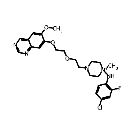 COc1cc2cncnc2cc1OCCOCCN1CC[N+](C)(Nc2ccc(Cl)cc2F)CC1